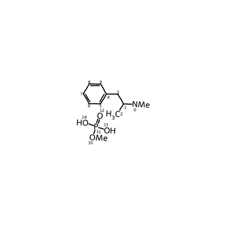 CNC(C)Cc1ccccc1.COP(=O)(O)O